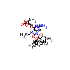 C=CCn1c(=O)n([C@@H]2O[C@H](CC)[C@@H](C)C2O[Si](CC)(CC)CC)c2nc(N)nc(OCc3oc(=O)oc3C)c21